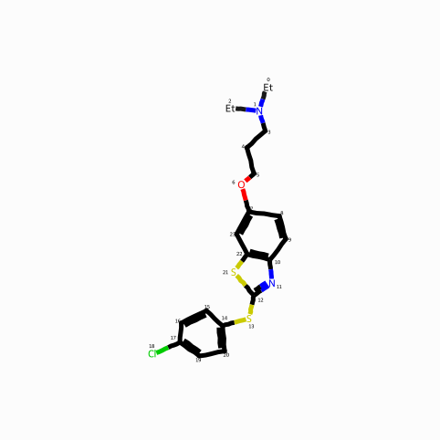 CCN(CC)CCCOc1ccc2nc(Sc3ccc(Cl)cc3)sc2c1